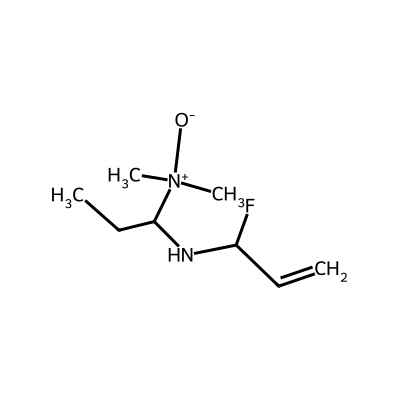 C=CC(F)NC(CC)[N+](C)(C)[O-]